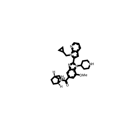 COc1cc(C(=O)N2C[C@H]3CC[C@@H]2[C@@H]3N)cc2nc(-c3cc4cccnc4n3CC3CC3)n(C3CCNCC3)c12